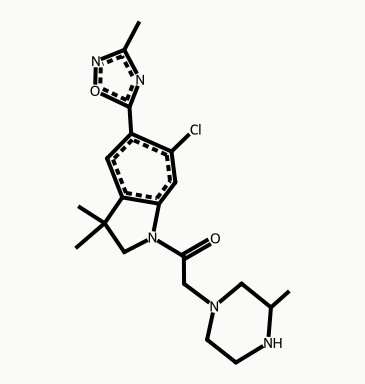 Cc1noc(-c2cc3c(cc2Cl)N(C(=O)CN2CCNC(C)C2)CC3(C)C)n1